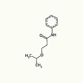 CC(C)OCCC(=O)Nc1ccccc1